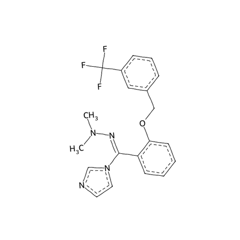 CN(C)/N=C(/c1ccccc1OCc1cccc(C(F)(F)F)c1)n1ccnc1